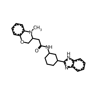 CN1c2ccccc2OCC1CC(=O)NC1CCCC(c2nc3ccccc3[nH]2)C1